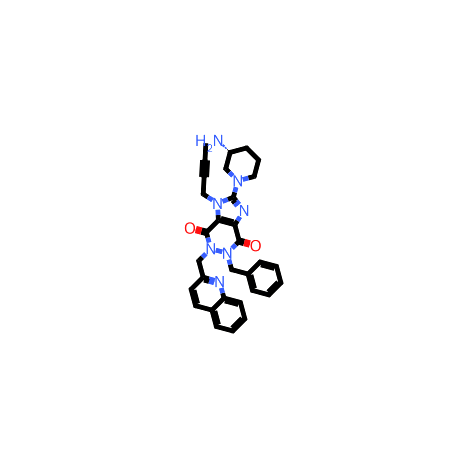 CC#CCn1c(N2CCC[C@@H](N)C2)nc2c(=O)n(Cc3ccccc3)n(Cc3ccc4ccccc4n3)c(=O)c21